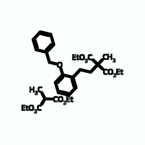 CCOC(=O)C(C)(CCc1ccccc1OCc1ccccc1)C(=O)OCC.CCOC(=O)C(C)C(=O)OCC